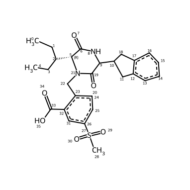 CCC(CC)[C@@H]1C(=O)NC(C2Cc3ccccc3C2)C(=O)N1Cc1ccc(S(C)(=O)=O)cc1C(=O)O